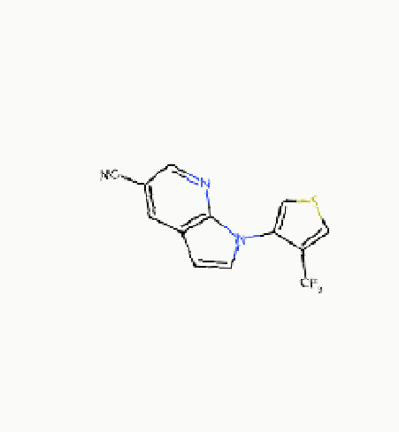 N#Cc1cnc2c(ccn2-c2cscc2C(F)(F)F)c1